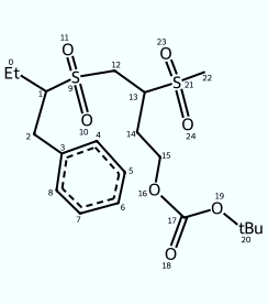 CCC(Cc1ccccc1)S(=O)(=O)CC(CCOC(=O)OC(C)(C)C)S(C)(=O)=O